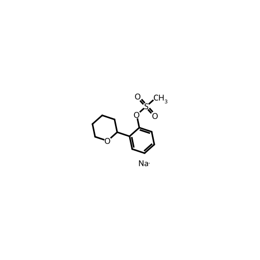 CS(=O)(=O)Oc1ccccc1C1CCCCO1.[Na]